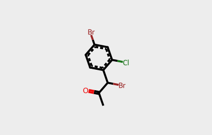 CC(=O)C(Br)c1ccc(Br)cc1Cl